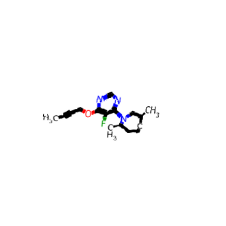 CC#CCOc1ncnc(N2C[C@@H](C)CCC[C@H]2C)c1F